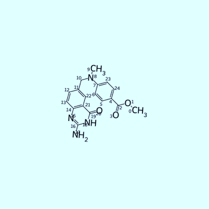 COC(=O)c1ccc(N(C)Cc2ccc3nc(N)[nH]c(=O)c3c2)cc1